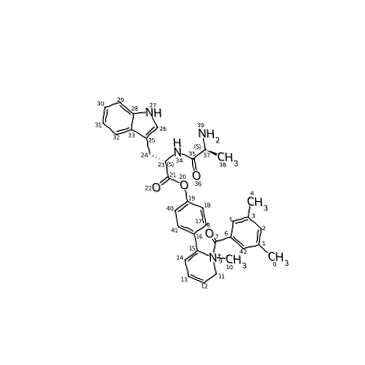 Cc1cc(C)cc(C(=O)[N+]2(C)CC=CC=C2c2ccc(OC(=O)[C@H](Cc3c[nH]c4ccccc34)NC(=O)[C@H](C)N)cc2)c1